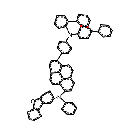 c1ccc(-c2ccc(N(c3ccc(-c4ccc5ccc6c(N(c7ccccc7)c7ccc8oc9ccccc9c8c7)ccc7ccc4c5c76)cc3)c3ccccc3-c3ccccc3)cc2)cc1